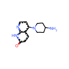 NC1CCN(c2ccnc3[nH]c(=O)ccc23)CC1